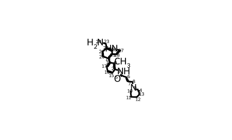 Cc1c(NC(=O)/C=C/CN2CCCCC2)cccc1-c1ccc(CN)c2[nH]ccc12